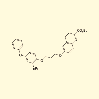 CCCc1cc(Oc2ccccc2)ccc1OCCCOc1ccc2c(c1)CCC(C(=O)OCC)O2